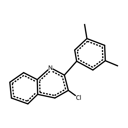 Cc1cc(C)cc(-c2nc3ccccc3cc2Cl)c1